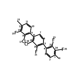 Cc1ccc(-c2ccc(-c3ccc(C)c(F)c3Cl)c(Cl)c2F)c(F)c1F